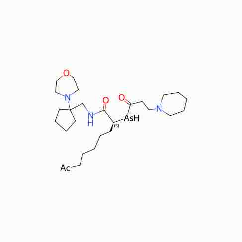 CC(=O)CCCCC[C@H]([AsH]C(=O)CCN1CCCCC1)C(=O)NCC1(N2CCOCC2)CCCC1